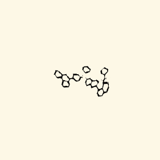 c1ccc(-c2nc3c(ccc4cccc(-c5ccc6cc(N(c7ccccc7)c7ccc(-c8cc9ccccc9c9ccccc89)cc7)ccc6c5)c43)o2)cc1